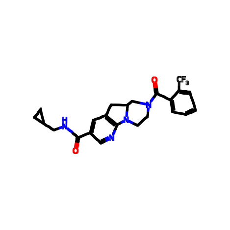 O=C(NCC1CC1)c1cnc2c(c1)CC1CN(C(=O)c3ccccc3C(F)(F)F)CCN21